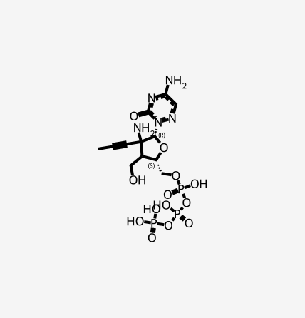 CC#CC1(N)C(CO)[C@@H](COP(=O)(O)OP(=O)(O)OP(=O)(O)O)O[C@H]1n1ncc(N)nc1=O